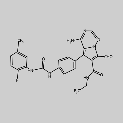 Nc1ncnn2c(C=O)c(C(=O)NCC(F)(F)F)c(-c3ccc(NC(=O)Nc4cc(C(F)(F)F)ccc4F)cc3)c12